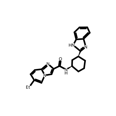 CCc1ccc2nc(C(=O)N[C@@H]3CCC[C@H](c4nc5ccccc5[nH]4)C3)cn2c1